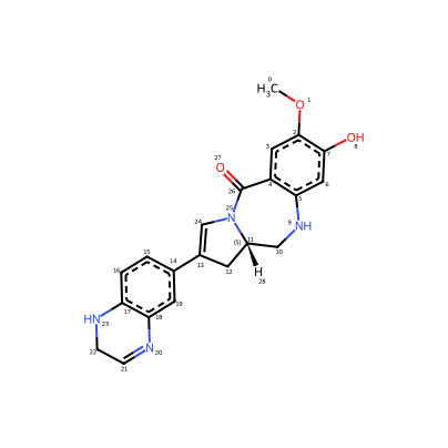 COc1cc2c(cc1O)NC[C@@H]1CC(c3ccc4c(c3)N=CCN4)=CN1C2=O